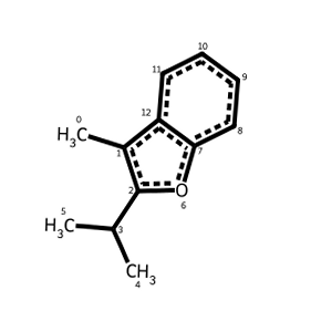 Cc1c(C(C)C)oc2ccccc12